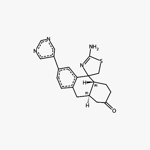 NC1=NC2(CS1)c1cc(-c3cncnc3)ccc1C[C@@H]1CC(=O)CC[C@H]12